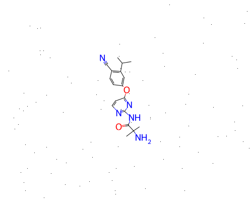 CC(C)c1cc(Oc2ccnc(NC(=O)C(C)(C)N)n2)ccc1C#N